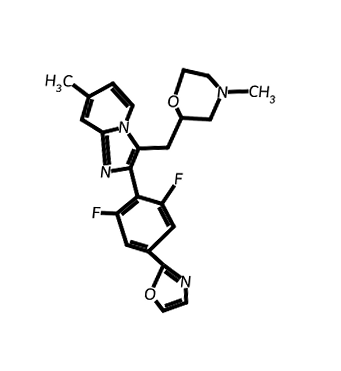 Cc1ccn2c(CC3CN(C)CCO3)c(-c3c(F)cc(-c4ncco4)cc3F)nc2c1